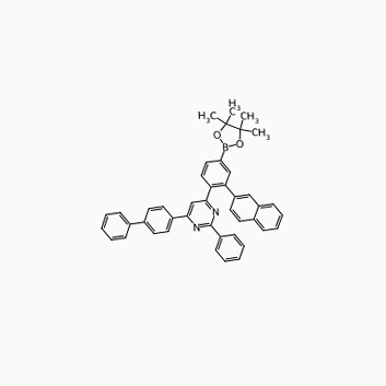 CC1(C)OB(c2ccc(-c3cc(-c4ccc(-c5ccccc5)cc4)nc(-c4ccccc4)n3)c(-c3ccc4ccccc4c3)c2)OC1(C)C